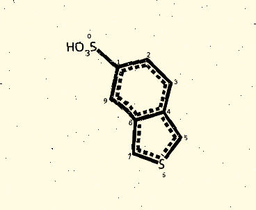 O=S(=O)(O)c1ccc2[c]s[c]c2c1